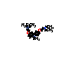 CCN(CC)CCOc1ccc2c(c1)c1cc(OCCN(CC)CC)ccc1n2C